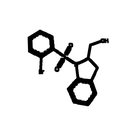 O=S(=O)(c1ccccc1Br)N1c2ccccc2CC1CO